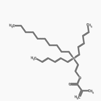 C=C(C)C(=O)OCC[N+](CCCCCC)(CCCCCC)CCCCCCCCCC